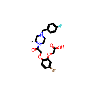 C[C@@H]1CN(Cc2ccc(F)cc2)CCN1C(=O)COc1ccc(Br)cc1OCC(=O)O